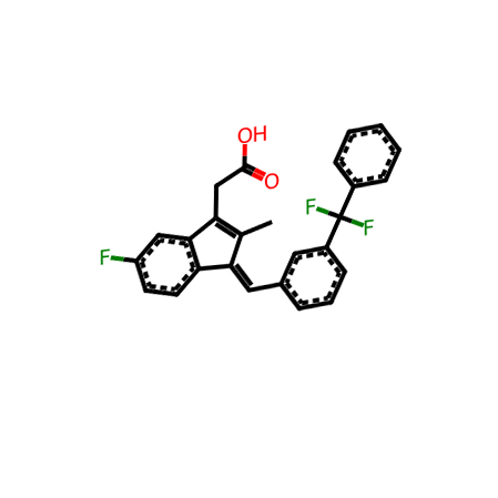 CC1=C(CC(=O)O)c2cc(F)ccc2C1=Cc1cccc(C(F)(F)c2ccccc2)c1